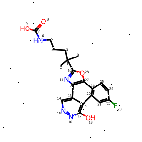 CC(C)(CCCNC(=O)O)c1nc2c3cnnc(O)c3c3cc(F)ccc3c2o1